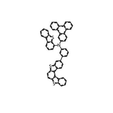 c1cc(-c2ccc3c(c2)sc2ccc4sc5ccccc5c4c23)cc(N(c2ccc3c4ccccc4c4ccccc4c3c2)c2cccc3c2sc2ccccc23)c1